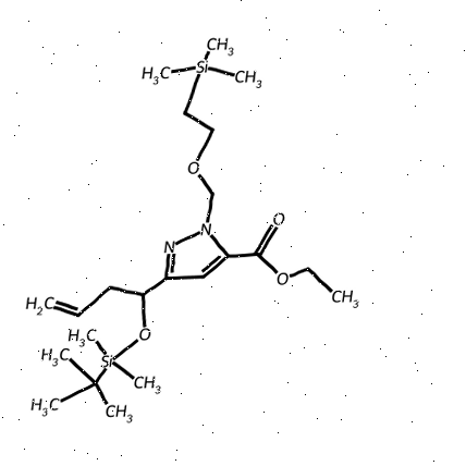 C=CCC(O[Si](C)(C)C(C)(C)C)c1cc(C(=O)OCC)n(COCC[Si](C)(C)C)n1